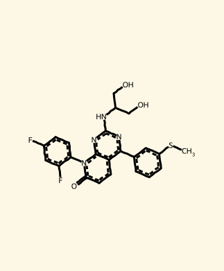 CSc1cccc(-c2nc(NC(CO)CO)nc3c2ccc(=O)n3-c2ccc(F)cc2F)c1